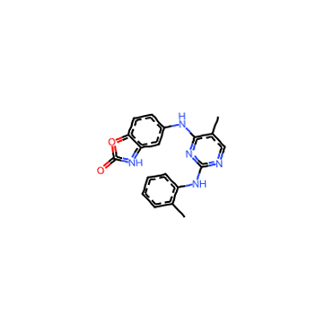 Cc1ccccc1Nc1ncc(C)c(Nc2ccc3oc(=O)[nH]c3c2)n1